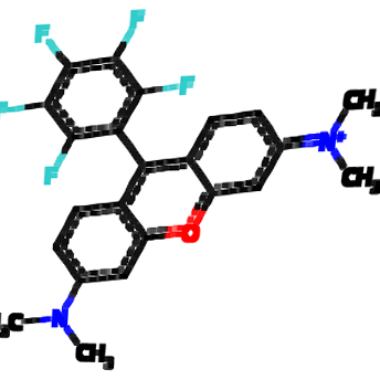 CN(C)c1ccc2c(-c3c(F)c(F)c(F)c(F)c3F)c3ccc(=[N+](C)C)cc-3oc2c1